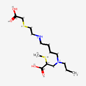 [CH2]CCN(CCC[C]NCCSCC(=O)O)CC(SC)C(=O)O